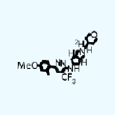 [2H]C([2H])(C1CCOCC1)N1C[C@H]2CC(Nc3nnc(-c4ccc(OC)cc4C)cc3C(F)(F)F)C[C@H]2C1